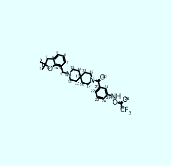 CC1(C)Cc2cccc(CN3CCC4(CC3)CCN(C(=O)c3cccc(NOC(=O)C(F)(F)F)c3)CC4)c2O1